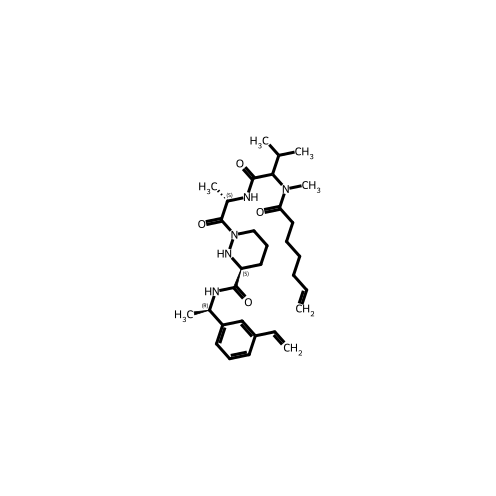 C=CCCCCC(=O)N(C)C(C(=O)N[C@@H](C)C(=O)N1CCC[C@@H](C(=O)N[C@H](C)c2cccc(C=C)c2)N1)C(C)C